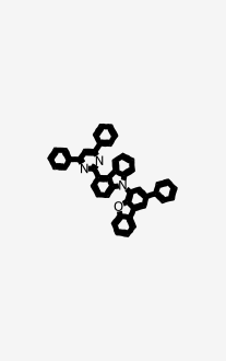 c1ccc(-c2cc(-n3c4ccccc4c4c(-c5nc(-c6ccccc6)cc(-c6ccccc6)n5)cccc43)c3oc4ccccc4c3c2)cc1